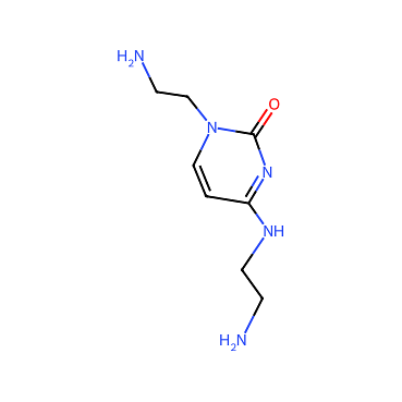 NCCNc1ccn(CCN)c(=O)n1